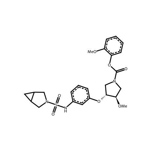 COc1ccccc1OC(=O)N1C[C@@H](OC)[C@H](Oc2cccc(NS(=O)(=O)N3CC4CC4C3)c2)C1